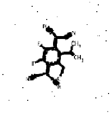 C=C(C)c1c(CC)c(=C(C#N)C#N)c(F)c(F)c1=C(C#N)C#N